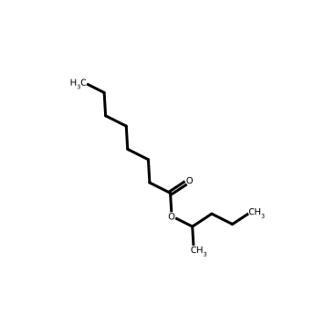 CCCCCCCC(=O)OC(C)CCC